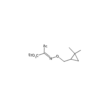 CCOC(=O)C(=NOCC1CC1(C)C)C(C)=O